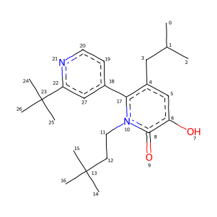 CC(C)Cc1cc(O)c(=O)n(CCC(C)(C)C)c1-c1ccnc(C(C)(C)C)c1